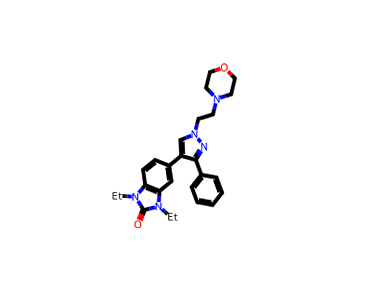 CCn1c(=O)n(CC)c2cc(-c3cn(CCN4CCOCC4)nc3-c3ccccc3)ccc21